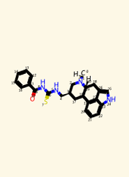 CN1C[C@H](CNC(=S)NC(=O)c2ccccc2)CC2c3cccc4[nH]cc(c34)C[C@H]21